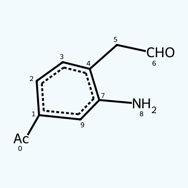 CC(=O)c1ccc(CC=O)c(N)c1